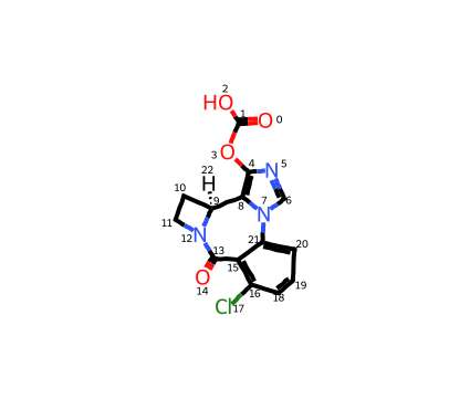 O=C(O)Oc1ncn2c1[C@@H]1CCN1C(=O)c1c(Cl)cccc1-2